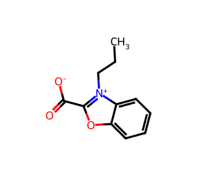 CCC[n+]1c(C(=O)[O-])oc2ccccc21